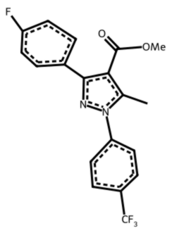 COC(=O)c1c(-c2ccc(F)cc2)nn(-c2ccc(C(F)(F)F)cc2)c1C